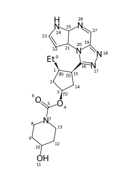 CC[C@@H]1C[C@H](OC(=O)N2CCC(O)CC2)C[C@@H]1c1nnc2n1C1C=CNC1N=C2